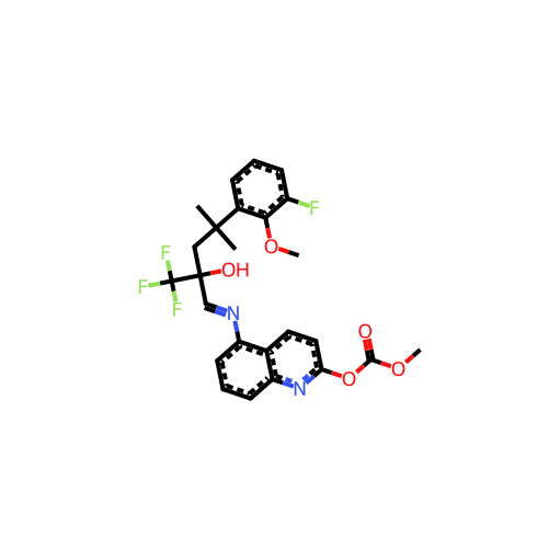 COC(=O)Oc1ccc2c(N=CC(O)(CC(C)(C)c3cccc(F)c3OC)C(F)(F)F)cccc2n1